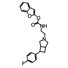 O=C(NCCN1CC2CC(c3ccc(F)cc3)C2C1)Oc1cc2ccccc2o1